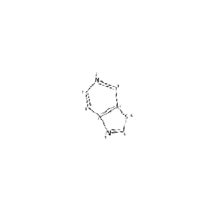 [c]1cncc2scnc12